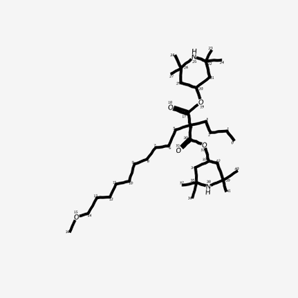 CCCCC(CCCCCCCCCCOC)(C(=O)OC1CC(C)(C)NC(C)(C)C1)C(=O)OC1CC(C)(C)NC(C)(C)C1